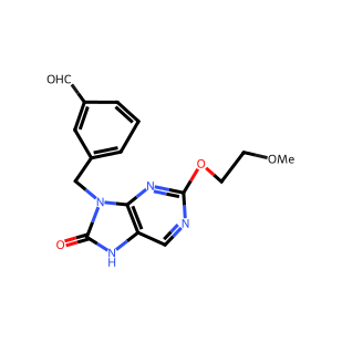 COCCOc1ncc2[nH]c(=O)n(Cc3cccc(C=O)c3)c2n1